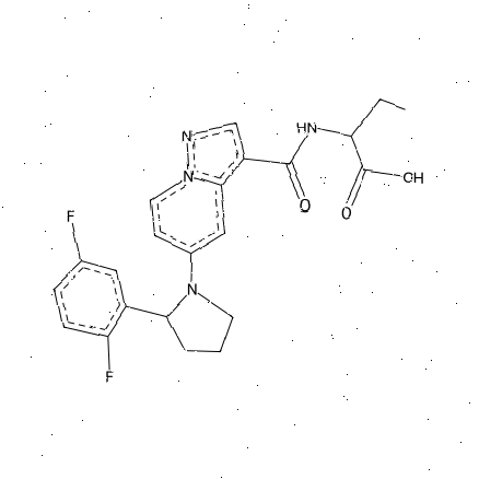 CCC(NC(=O)c1cnn2ccc(N3CCCC3c3cc(F)ccc3F)cc12)C(=O)O